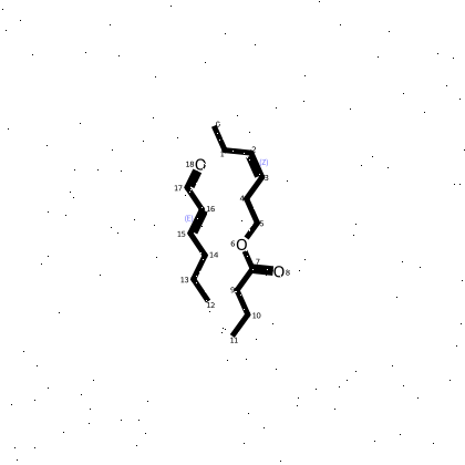 CC/C=C\CCOC(=O)CCC.CCC/C=C/C=O